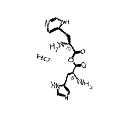 Cl.N[C@@H](Cc1cnc[nH]1)C(=O)OC(=O)[C@@H](N)Cc1cnc[nH]1